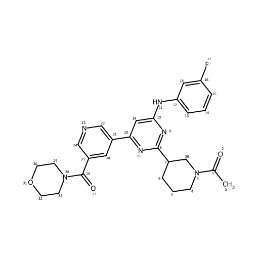 CC(=O)N1CCCC(c2nc(Nc3cccc(F)c3)cc(-c3cncc(C(=O)N4CCOCC4)c3)n2)C1